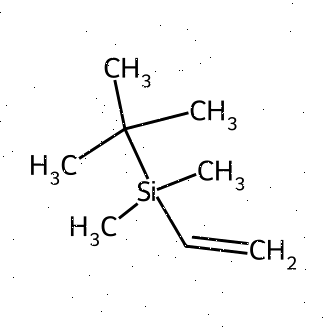 C=C[Si](C)(C)C(C)(C)C